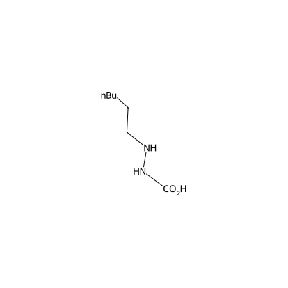 CCCCCCNNC(=O)O